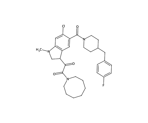 CN1CC(C(=O)C(=O)N2CCCCCCC2)c2cc(C(=O)N3CCC(Cc4ccc(F)cc4)CC3)c(Cl)cc21